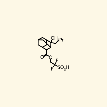 CC(C)CC1(O)C2CC3CC(C2)C(C(=O)OCC(F)(F)S(=O)(=O)O)C1C3